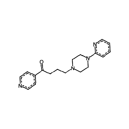 O=C(CCCN1CCN(c2ccccn2)CC1)c1ccncc1